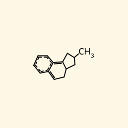 CC1CC2=c3ccccc3=CCC2C1